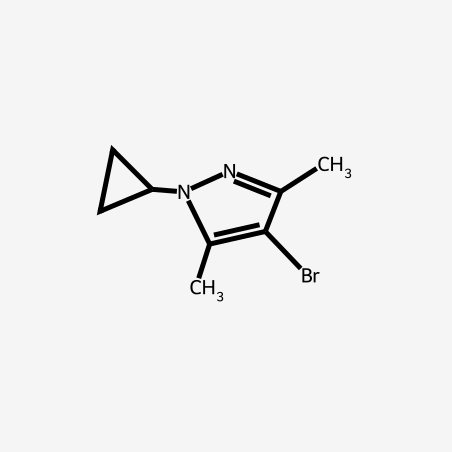 Cc1nn(C2CC2)c(C)c1Br